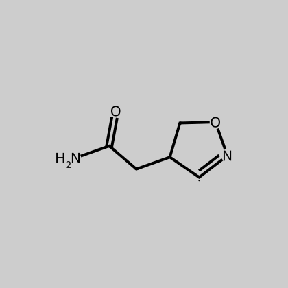 NC(=O)CC1[C]=NOC1